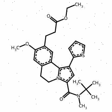 CCOC(=O)CCc1cc2c(cc1OC)CCn1c(C(=O)N(C)C(C)(C)C)cc(-c3cccs3)c1-2